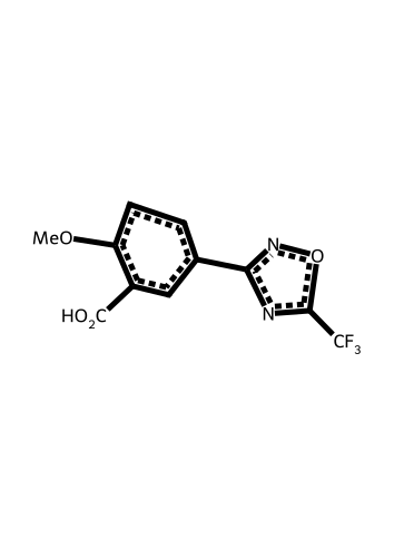 COc1ccc(-c2noc(C(F)(F)F)n2)cc1C(=O)O